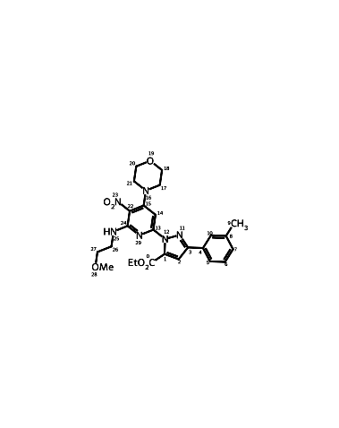 CCOC(=O)c1cc(-c2cccc(C)c2)nn1-c1cc(N2CCOCC2)c([N+](=O)[O-])c(NCCOC)n1